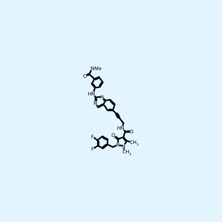 CNC(=O)c1cccc(Nc2ncc3cc(C#CCNC(=O)c4c(C)n(C)n(Cc5ccc(F)c(F)c5)c4=O)ccc3n2)c1